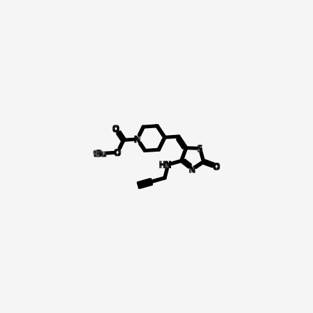 C#CCNC1=NC(=O)SC1=CC1CCN(C(=O)OC(C)(C)C)CC1